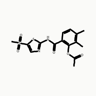 CC(=O)Oc1c(C(=O)Nc2ncc(S(C)(=O)=O)s2)ccc(C)c1C